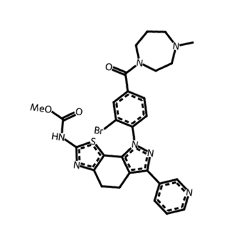 COC(=O)Nc1nc2c(s1)-c1c(c(-c3cccnc3)nn1-c1ccc(C(=O)N3CCCN(C)CC3)cc1Br)CC2